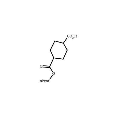 CCCCCOC(=O)C1CCC(C(=O)OCC)CC1